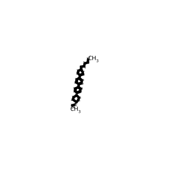 CCCCCCC1CC=C(c2ccc(-c3ccc([C@H]4CC[C@H](CCC)CC4)cc3)cc2)CC1